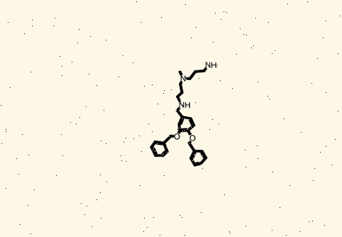 CN(CCC[NH])CCCNCc1ccc(OCc2ccccc2)c(OCc2ccccc2)c1